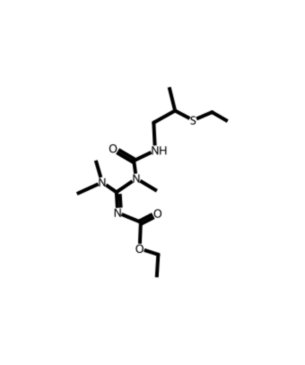 CCOC(=O)N=C(N(C)C)N(C)C(=O)NCC(C)SCC